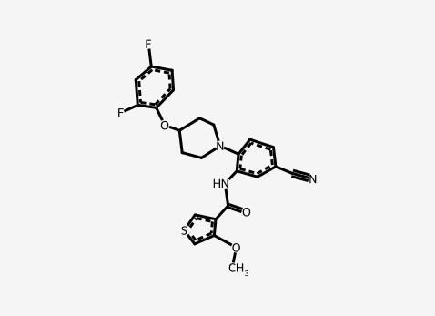 COc1cscc1C(=O)Nc1cc(C#N)ccc1N1CCC(Oc2ccc(F)cc2F)CC1